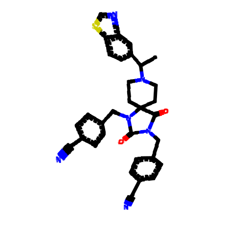 CC(c1ccc2scnc2c1)N1CCC2(CC1)C(=O)N(Cc1ccc(C#N)cc1)C(=O)N2Cc1ccc(C#N)cc1